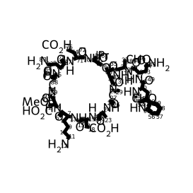 COC(C(=O)O)C1NC(=O)C(CCCCN)NC(=O)C(CC(=O)O)NC(=O)C(C)NC(=O)CN(C)C(=O)C(NC(=O)C(CC=O)NC(=O)C(CC(N)=O)NC(=O)C(Cc2c[nH]c3ccccc23)NC=O)C(C)OC(=O)C(C(C)C)NC(=O)C(CCC(=O)O)NC(=O)C(CC(N)=O)NC(=O)CNC1=O